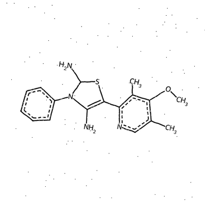 COc1c(C)cnc(C2=C(N)N(c3ccccc3)C(N)S2)c1C